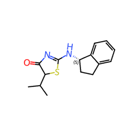 CC(C)C1SC(N[C@H]2CCc3ccccc32)=NC1=O